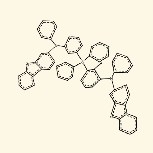 Cc1c(N(c2ccccc2)c2ccc3c(c2)sc2ccccc23)cccc1[Si](c1ccccc1)(c1ccccc1)c1cccc(N(c2ccccc2)c2ccc3c(c2)sc2ccccc23)c1